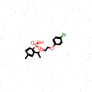 Cc1ccc(S(=O)(=O)O)c(C(C)OCCOc2ccc(Br)cc2)c1